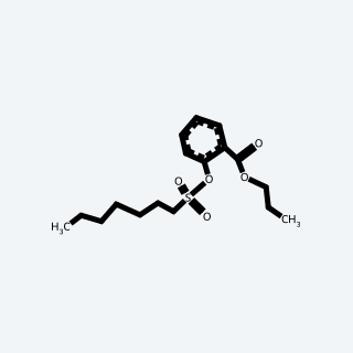 CCCCCCCS(=O)(=O)Oc1ccccc1C(=O)OCCC